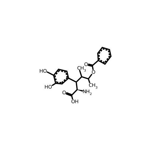 CC(OC(=O)c1ccccc1)C(C)C(c1ccc(O)c(O)c1)[C@@H](N)C(=O)O